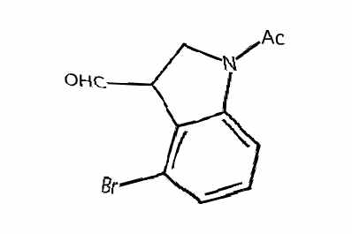 CC(=O)N1CC(C=O)c2c(Br)cccc21